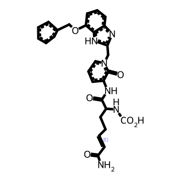 NC(=O)/C=C/CCC(NC(=O)O)C(=O)Nc1cccn(Cc2nc3cccc(OCc4ccccc4)c3[nH]2)c1=O